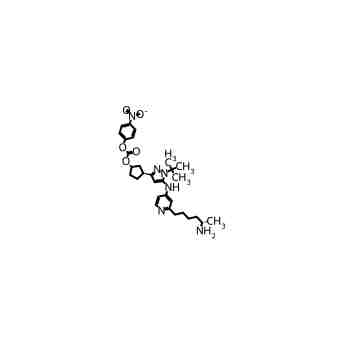 C[C@H](N)CCCCc1cc(Nc2cc([C@H]3CC[C@@H](OC(=O)Oc4ccc([N+](=O)[O-])cc4)C3)nn2C(C)(C)C)ccn1